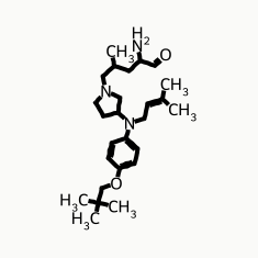 CC(C)=CCN(c1ccc(OCC(C)(C)C)cc1)C1CCN(CC(C)CC(N)C=O)C1